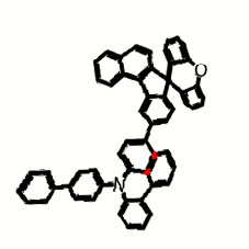 c1ccc(-c2ccc(N(c3ccc(-c4ccc5c(c4)-c4c(ccc6ccccc46)C54c5ccccc5Oc5ccccc54)cc3)c3ccccc3-c3ccccc3)cc2)cc1